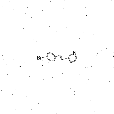 Brc1ccc(C=Cc2cccnc2)cc1